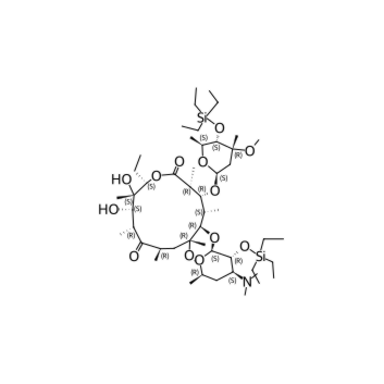 CC[C@@H]1OC(=O)[C@H](C)[C@H](O[C@@H]2C[C@@](C)(OC)[C@@H](O[Si](CC)(CC)CC)[C@H](C)O2)[C@H](C)[C@@H](O[C@@H]2O[C@H](C)C[C@H](N(C)C)[C@H]2O[Si](CC)(CC)CC)[C@](C)(OC)C[C@@H](C)C(=O)[C@H](C)[C@H](O)[C@]1(C)O